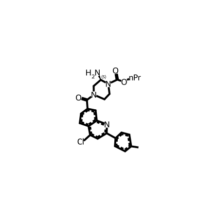 CCCOC(=O)N1CCN(C(=O)c2ccc3c(Cl)cc(-c4ccc(C)cc4)nc3c2)C[C@H]1N